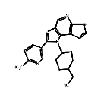 N#CCC1CCC(n2c(-c3ccc(C(=O)O)nc3)nc3cnc4[nH]ccc4c32)CC1